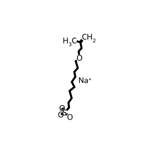 C=C(C)CCOCCCCCCCCCCS(=O)(=O)[O-].[Na+]